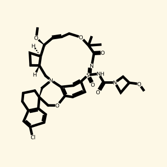 COC1CN(C(=O)NS2(=O)=NC(=O)C(C)(C)OC/C=C/[C@H](OC)[C@@H]3CC[C@H]3CN3C[C@@]4(CCCc5cc(Cl)ccc54)COc4ccc2cc43)C1